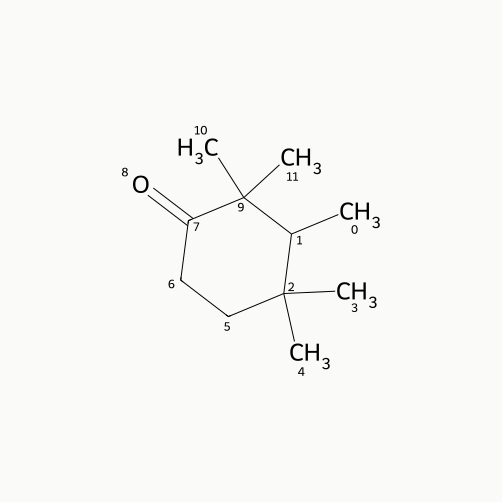 CC1C(C)(C)CCC(=O)C1(C)C